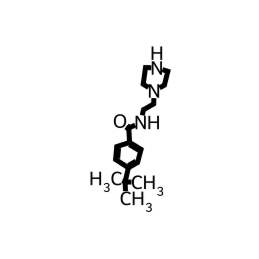 CC(C)(C)c1ccc(C(=O)NCCN2CCNCC2)cc1